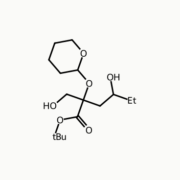 CCC(O)CC(CO)(OC1CCCCO1)C(=O)OC(C)(C)C